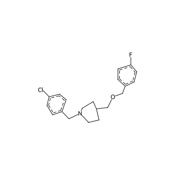 Fc1ccc(COCC2CCN(Cc3ccc(Cl)cc3)CC2)cc1